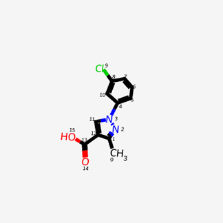 Cc1nn(-c2cccc(Cl)c2)cc1C(=O)O